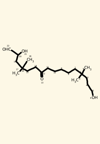 CC(C)(CCCO)CCCCCC(=O)CCC(C)(C)CC(O)C=O